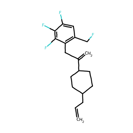 C=CCC1CCC(C(=C)Cc2c(CF)cc(F)c(F)c2F)CC1